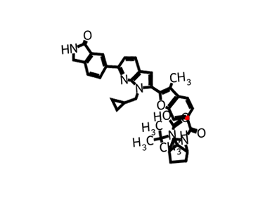 Cc1c(-c2cc3ccc(-c4ccc5c(c4)C(=O)NC5)nc3n2CC2CC2)oc2cc(C(=O)N3CC4CCC3[C@@H]4N(C(=O)O)C(C)(C)C)ccc12